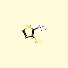 Nc1sccc1S